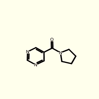 O=C(c1cncnc1)N1CCCC1